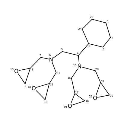 C1CCC(C(CN(CC2CO2)CC2CO2)N(CC2CO2)CC2CO2)CC1